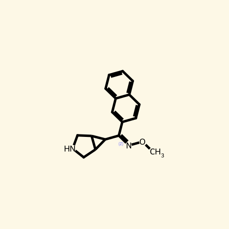 CO/N=C(\c1ccc2ccccc2c1)C1C2CNCC21